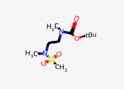 CN(CCN(C)S(C)(=O)=O)C(=O)OC(C)(C)C